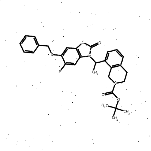 CC(c1cccc2c1CN(C(=O)OC(C)(C)C)CC2)n1c(=O)oc2cc(SCc3ccccc3)c(F)cc21